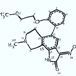 COCCOc1ccccc1-c1cc2c(c3c1CCN(C)C3)NC(=O)/C2=N/O